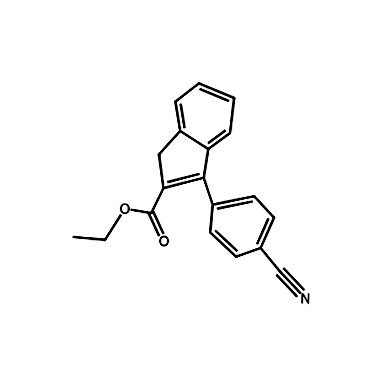 CCOC(=O)C1=C(c2ccc(C#N)cc2)c2ccccc2C1